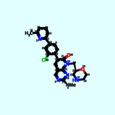 CNc1ncc2cc(-c3ccc(-c4cccc(C)n4)cc3Cl)c(=O)n(C[C@@H]3CNCCO3)c2n1